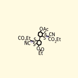 CCOC(=O)/C(C#N)=C1/Sc2c(OC(C)=O)ccc(-c3ccc(OC(=O)CC)c4c3S/C(=C(/C#N)C(=O)OCC)S4)c2S1